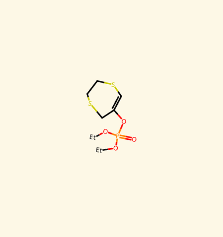 CCOP(=O)(OCC)OC1=CSCCSC1